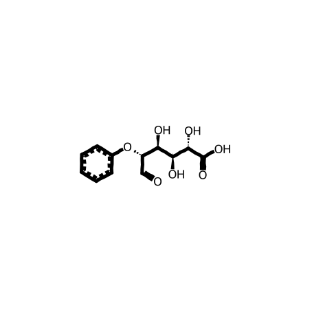 O=C[C@H](Oc1ccccc1)[C@@H](O)[C@H](O)[C@H](O)C(=O)O